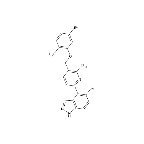 Cc1ccc(C(C)C)cc1OCc1ccc(-c2c(C(C)C)ccc3[nH]ncc23)nc1C